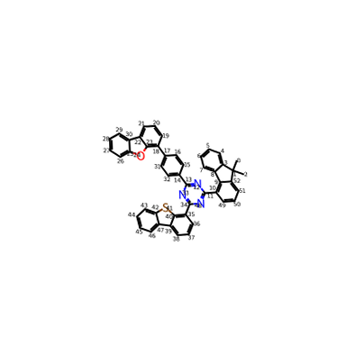 CC1(C)c2ccccc2-c2c(-c3nc(-c4ccc(-c5cccc6c5oc5ccccc56)cc4)nc(-c4cccc5c4sc4ccccc45)n3)cccc21